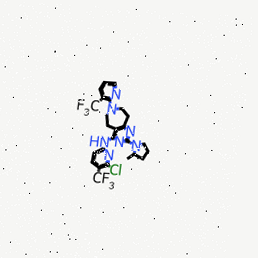 CC1CCCN1c1nc2c(c(Nc3ccc(C(F)(F)F)c(Cl)n3)n1)CCN(c1ncccc1C(F)(F)F)CC2